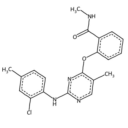 CNC(=O)c1ccccc1Oc1nc(Nc2ccc(C)cc2Cl)ncc1C